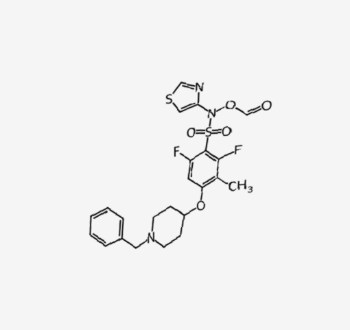 Cc1c(OC2CCN(Cc3ccccc3)CC2)cc(F)c(S(=O)(=O)N(OC=O)c2cscn2)c1F